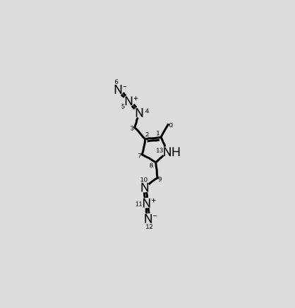 CC1=C(CN=[N+]=[N-])CC(CN=[N+]=[N-])N1